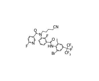 N#CCCCCN(C(=O)c1ccc(F)nc1)c1cccc(C(=O)Nc2c(Br)cc(C(F)(C(F)(F)F)C(F)(F)F)cc2I)c1F